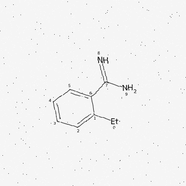 C[CH]c1ccccc1C(=N)N